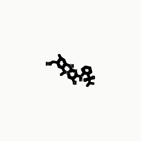 COc1cc(CO)c(C)cc1Nc1ncc(Cl)c(Nc2ccccc2S(=O)(=O)C(C)C)n1